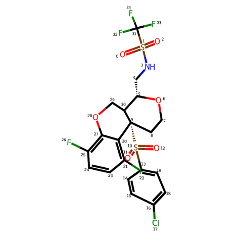 O=S(=O)(NC[C@@H]1OCC[C@@]2(S(=O)(=O)c3ccc(Cl)cc3)c3c(F)ccc(F)c3OCC12)C(F)(F)F